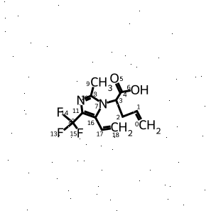 C=CCC(C(=O)O)n1c(C)nc(C(F)(F)F)c1C=C